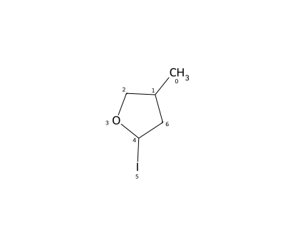 CC1COC(I)C1